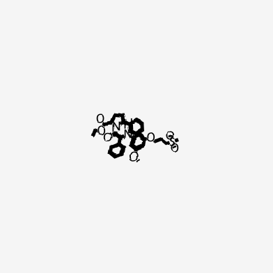 CCOC(=O)C1CCC(c2ccccc2)N1C(=O)C(Nc1cc(OC)cc(OCCCS(C)(=O)=O)c1)c1ccccc1